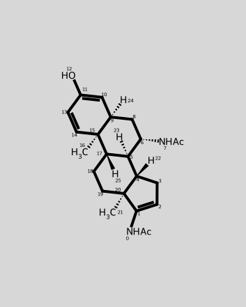 CC(=O)NC1=CC[C@H]2[C@@H]3[C@@H](NC(C)=O)C[C@@H]4C=C(O)C=C[C@]4(C)[C@H]3CC[C@]12C